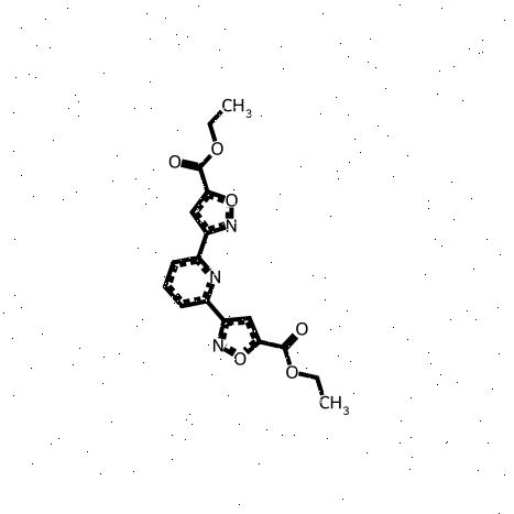 CCOC(=O)c1cc(-c2cccc(-c3cc(C(=O)OCC)on3)n2)no1